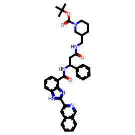 CC(C)(C)OC(=O)N1CCCC(CNC(=O)CC(NC(=O)c2cccc3[nH]c(-c4cc5ccccc5cn4)nc23)c2ccccc2)C1